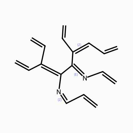 C=C/C=N\C(=C(C=C)C=C)C(=N/C=C)/C(C=C)=C\C=C